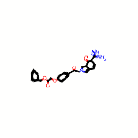 N=C(N)C1C=CC2=CN(CC(=O)c3ccc(OCC(=O)OCc4ccccc4)cc3)CC2C1=O